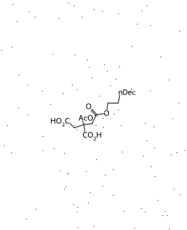 CCCCCCCCCCCCOC(=O)CC(CC(=O)O)(OC(C)=O)C(=O)O